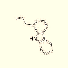 C=C[CH]c1cccc2c1[nH]c1ccccc12